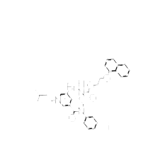 CC(C)CC[n+]1cc(Br)cc(C(=O)N(CCNC(=O)OCCOc2cccc3ccccc23)c2ccccc2)c1.[I-]